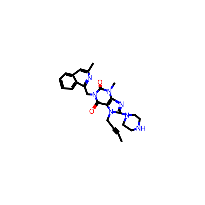 CC#CCn1c(N2CCNCC2)nc2c1c(=O)n(Cc1nc(C)cc3ccccc13)c(=O)n2C